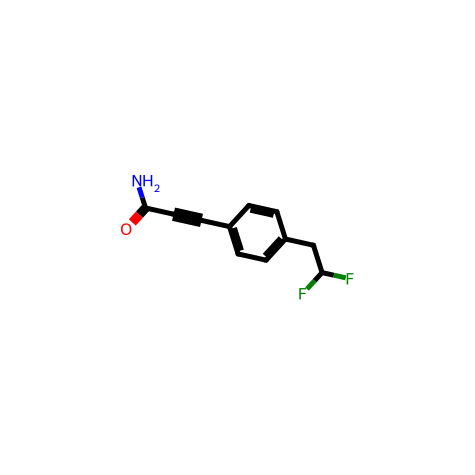 NC(=O)C#Cc1ccc(CC(F)F)cc1